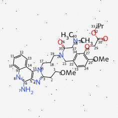 COCCc1nc2c(N)nc3ccccc3c2n1CCCN(Cc1ccc(OC)c(OCC(=O)OC(C)C)c1)C(=O)CN(C)C